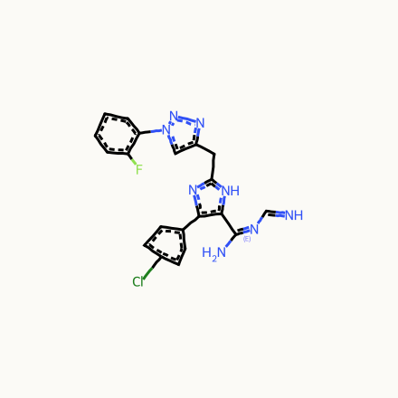 N=C/N=C(/N)c1[nH]c(Cc2cn(-c3ccccc3F)nn2)nc1-c1ccc(Cl)cc1